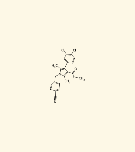 COC(=O)c1c(-c2ccc(Cl)c(Cl)c2)c(C)n(Cc2ccc(C#N)cc2)c1C